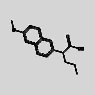 CCCC(C(=O)O)c1ccc2cc(OC)ccc2c1